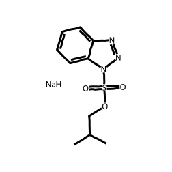 CC(C)COS(=O)(=O)n1nnc2ccccc21.[NaH]